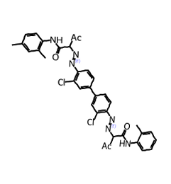 CC(=O)C(/N=N/c1ccc(-c2ccc(/N=N/C(C(C)=O)C(=O)Nc3ccc(C)cc3C)c(Cl)c2)cc1Cl)C(=O)Nc1ccccc1C